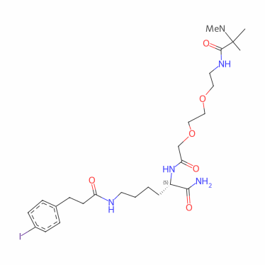 CNC(C)(C)C(=O)NCCOCCOCC(=O)N[C@@H](CCCCNC(=O)CCc1ccc(I)cc1)C(N)=O